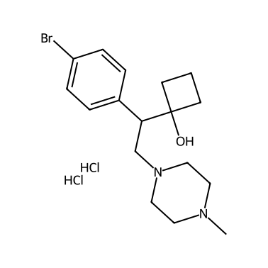 CN1CCN(CC(c2ccc(Br)cc2)C2(O)CCC2)CC1.Cl.Cl